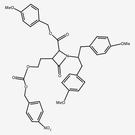 COc1ccc(COC(=O)C2C(CCOC(=O)OCc3ccc([N+](=O)[O-])cc3)C(=O)N2C(Cc2ccc(OC)cc2)Cc2ccc(OC)cc2)cc1